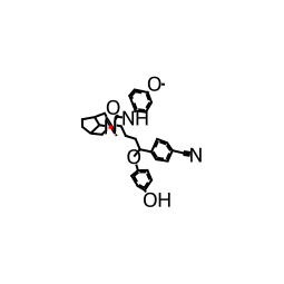 COc1ccc(NC(=O)N(C)C2C3CCC2CN(CCCC(Oc2ccc(O)cc2)c2ccc(C#N)cc2)C3)cc1